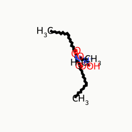 CCCCCCCC/C=C\CCCCCCCC(=O)OCCN(CCOC(=O)CCCCCCC/C=C\CCCCCCCC)C(=O)CC[N+](C)(C)CCO